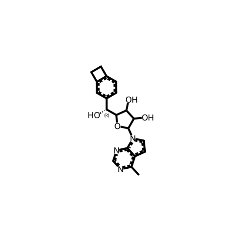 Cc1ncnc2c1ccn2C1OC([C@H](O)c2ccc3c(c2)CC3)C(O)C1O